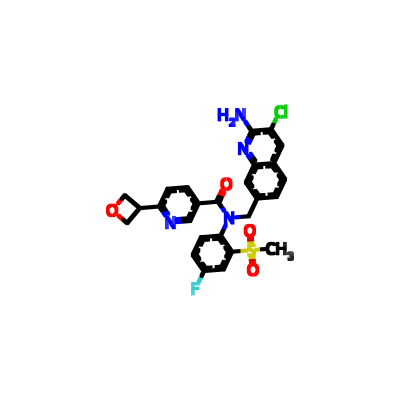 CS(=O)(=O)c1cc(F)ccc1N(Cc1ccc2cc(Cl)c(N)nc2c1)C(=O)c1ccc(C2COC2)nc1